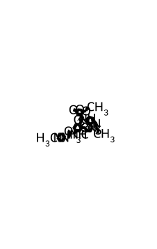 CCOC1OC(=O)CC1NS(=O)(=O)c1ccc(NC(=O)CN2CCN(C)CC2)cc1O[C@H](C)Cn1c(SC)nc2ccccc21